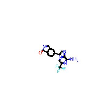 Nc1nc(C(F)(F)F)cn2c(-c3ccc4c(c3)C=NC4=O)cnc12